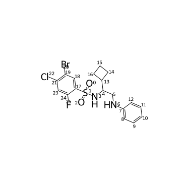 O=S(=O)(NC(CNc1ccccc1)C1CCC1)c1cc(Br)c(Cl)cc1F